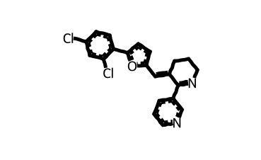 Clc1ccc(-c2ccc(/C=C3\CCCN=C3c3cccnc3)o2)c(Cl)c1